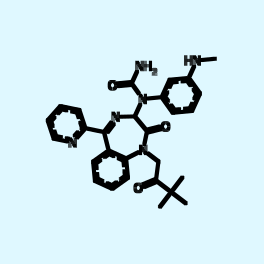 CNc1cccc(N(C(N)=O)C2N=C(c3ccccn3)c3ccccc3N(CC(=O)C(C)(C)C)C2=O)c1